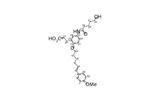 COc1ccc(/C=C/CCCCOc2ccc(NC(=O)CCCCO)cc2CCC(=O)O)cc1